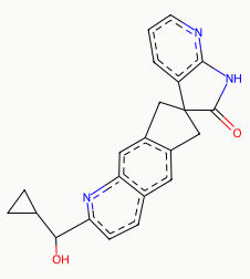 O=C1Nc2ncccc2C12Cc1cc3ccc(C(O)C4CC4)nc3cc1C2